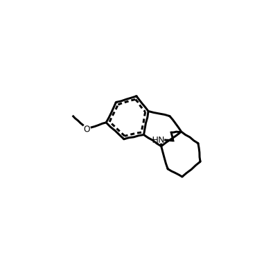 COc1ccc2c(c1)C13CCCCC1(CCN3)C2